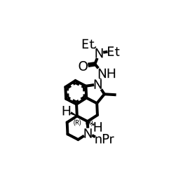 CCCN1CCC[C@@H]2c3cccc4c3C(C[C@H]21)C(C)N4NC(=O)N(CC)CC